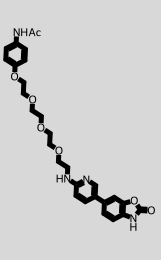 CC(=O)Nc1ccc(OCCOCCOCCOCCNc2ccc(-c3ccc4[nH]c(=O)oc4c3)cn2)cc1